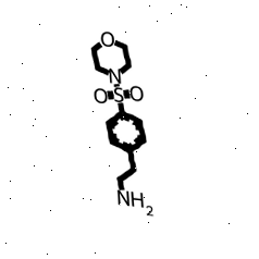 NCCc1ccc(S(=O)(=O)N2CCOCC2)cc1